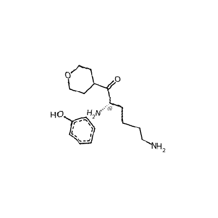 NCCCC[C@H](N)C(=O)C1CCOCC1.Oc1ccccc1